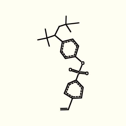 C=Cc1ccc(S(=O)(=O)Oc2ccc(C(CC(C)(C)C)C(C)(C)C)cc2)cc1